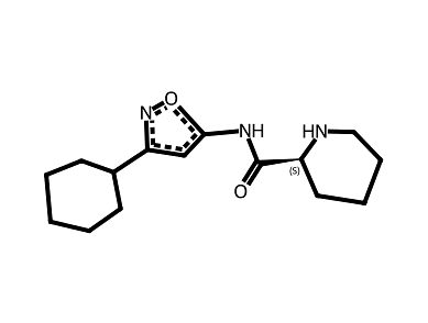 O=C(Nc1cc(C2CCCCC2)no1)[C@@H]1CCCCN1